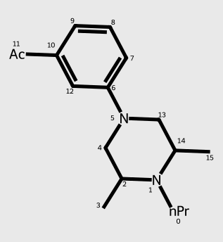 CCCN1C(C)CN(c2cccc(C(C)=O)c2)CC1C